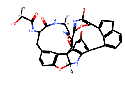 CC(C)[C@H](O)C(=O)NC1Cc2ccc3c(c2)C24c5cc(Br)cc(c5N[C@H]2O3)-c2cccc3c2C(=CC3)c2oc(nc2Br)-c2nc(oc24)[C@H](C(C)C)NC1=O